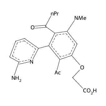 CCCC(=O)c1c(NC)cc(OCC(=O)O)c(C(C)=O)c1-c1cccc(N)n1